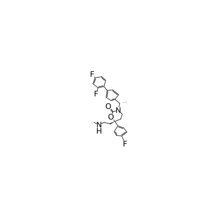 CNCC[C@]1(c2ccc(F)cc2)CCN([C@@H](C)c2ccc(-c3ccc(F)cc3F)cc2)C(=O)O1